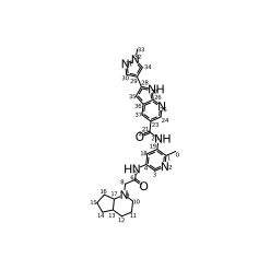 Cc1ncc(NC(=O)CN2CCCC3CCCC32)cc1NC(=O)c1cnc2[nH]c(-c3cnn(C)c3)cc2c1